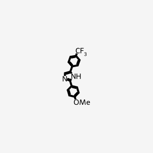 COc1ccc(-c2ncc(-c3ccc(C(F)(F)F)cc3)[nH]2)cc1